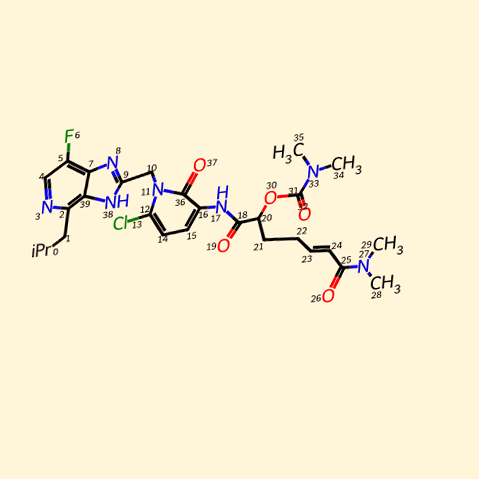 CC(C)Cc1ncc(F)c2nc(Cn3c(Cl)ccc(NC(=O)C(CCC=CC(=O)N(C)C)OC(=O)N(C)C)c3=O)[nH]c12